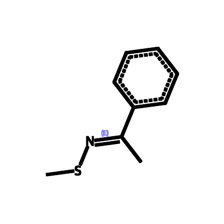 CS/N=C(\C)c1ccccc1